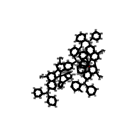 Cc1ccccc1N(c1ccccc1)c1ccc2c3c(cc(C(C)C)c2c1)-c1cc(C(C)C)c2cc(N(c4ccccc4)c4ccccc4Cc4cccc(N(c5ccccc5)c5ccc6c7c(cc(C(C)C)c6c5)-c5cc(C(C)C)c6cc(N(c8ccccc8)c8ccccc8)ccc6c5C75c6ccccc6-c6ccccc65)c4)ccc2c1C31c2ccccc2-c2ccccc21